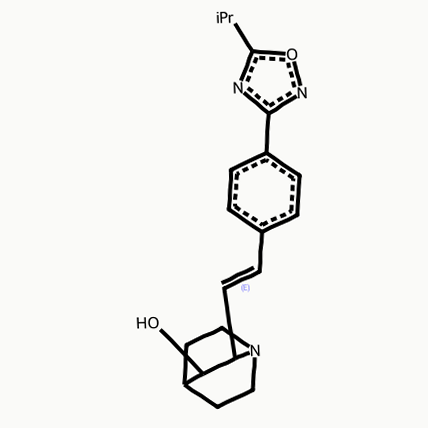 CC(C)c1nc(-c2ccc(/C=C/C3C(O)C4CCN3CC4)cc2)no1